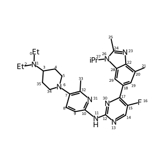 CCN(CC)C1CCN(c2ccc(Nc3ncc(F)c(-c4cc(C)c5nc(C)n(C(C)C)c5c4)n3)nc2C)CC1